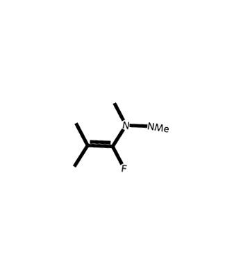 CNN(C)C(F)=C(C)C